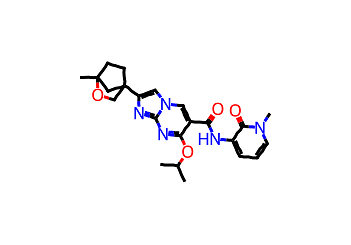 CC(C)Oc1nc2nc(C34CCC(C)(C3)OC4)cn2cc1C(=O)Nc1cccn(C)c1=O